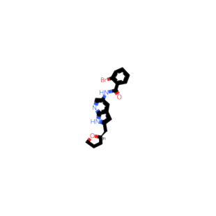 O=C(Nc1cnc2[nH]c(C[C@H]3CCCO3)cc2c1)c1ccccc1Br